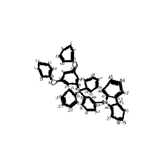 c1ccc(Oc2cc(Oc3ccccc3)cc([Si](c3ccccc3)(c3ccccc3)c3cccc(-n4c5ccccc5c5ccccc54)c3)c2)cc1